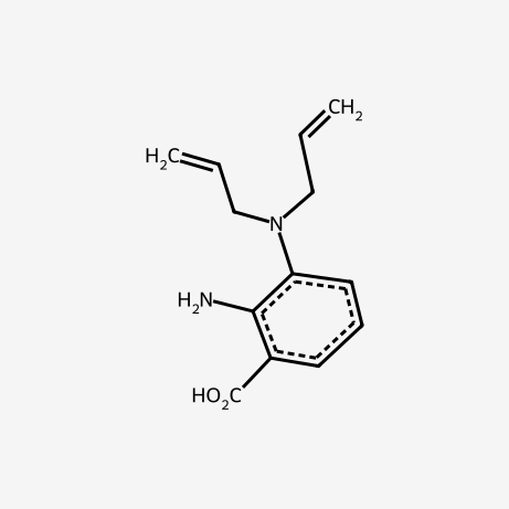 C=CCN(CC=C)c1cccc(C(=O)O)c1N